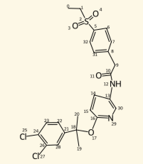 CCS(=O)(=O)c1ccc(CC(=O)Nc2ccc(OC(C)(C)c3ccc(Cl)c(Cl)c3)nc2)cc1